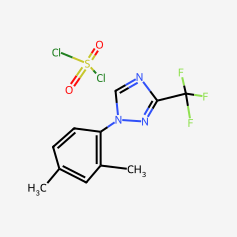 Cc1ccc(-n2cnc(C(F)(F)F)n2)c(C)c1.O=S(=O)(Cl)Cl